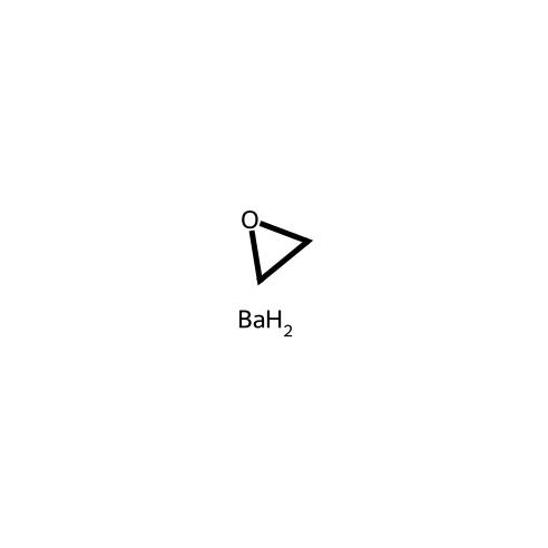 C1CO1.[BaH2]